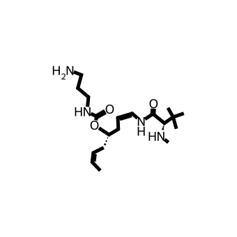 C/C=C\C[C@@H](C/C=C\NC(=O)[C@@H](NC)C(C)(C)C)OC(=O)NCCCN